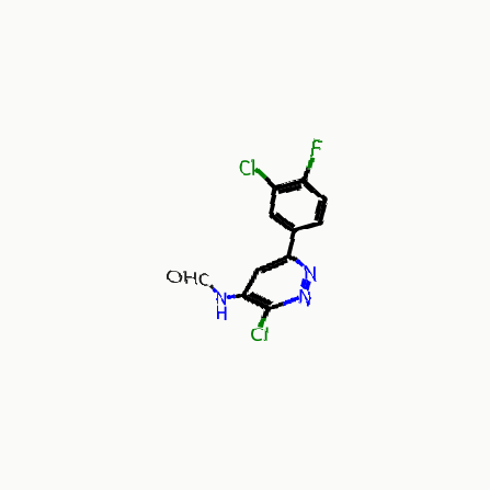 O=CNc1cc(-c2ccc(F)c(Cl)c2)nnc1Cl